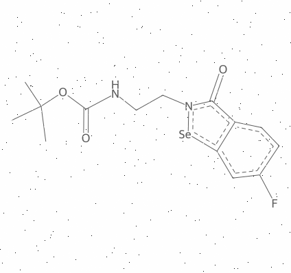 CC(C)(C)OC(=O)NCCn1[se]c2cc(F)ccc2c1=O